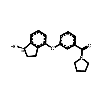 O=C(c1cccc(Oc2cccc3c2CC[C@H]3O)c1)N1CCCC1